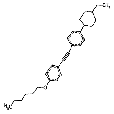 CCCCCCOc1ccc(C#Cc2ccc(C3CCC(CC)CC3)cc2)nc1